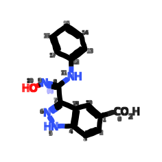 O=C(O)c1ccc2[nH]nc(/C(=N\O)Nc3ccccc3)c2c1